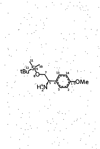 COc1ccc([C@@H](N)CO[Si](C)(C)C(C)(C)C)cc1